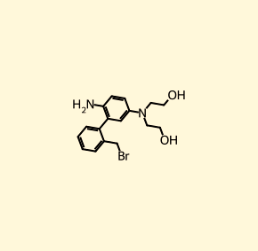 Nc1ccc(N(CCO)CCO)cc1-c1ccccc1CBr